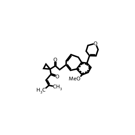 COc1ccc(C2=CCOCC2)c2c1C=C(CC(=O)C1(C(=O)C=C(C)C)CC1)C=CC2